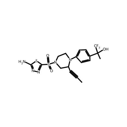 CC#CC1CN(S(=O)(=O)c2nnc(N)s2)CCN1c1ccc(C(C)(O)C(F)(F)F)cc1